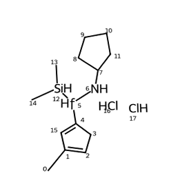 CC1=CC[C]([Hf]([NH]C2CCCC2)[SiH](C)C)=C1.Cl.Cl